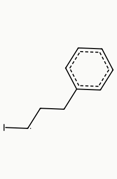 I[CH]CCc1ccccc1